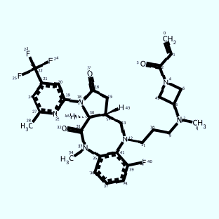 C=CC(=O)N1CC(N(C)CCCN2C[C@H]3CC(=O)N(c4cc(C(F)(F)F)cc(C)n4)[C@@H]3C(=O)N(C)c3cccc(F)c32)C1